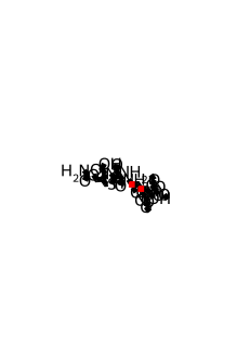 COOP(=O)(OOC)C(O)(CCCCNC(=O)C1(N)C(=O)N2C(C(=O)O)=C(COC(N)=O)CS[C@H]21)P(=O)(OOC)OOC